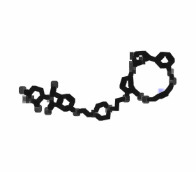 O=C1CCC(N2C(=O)c3ccc(OCCN4CCN(CCOc5ccc6cc5COC/C=C/COCc5cccc(c5)-c5ccnc(n5)N6)CC4)cc3C2=O)C(=O)N1